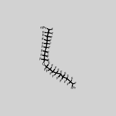 CCCC(F)C(F)(F)C(F)(F)C(F)(F)C(F)(F)C(F)(F)C(F)(F)C(F)(F)C(F)(F)OC(F)(F)C(F)(F)C(F)(F)C(F)(F)C(F)(F)C(F)(F)C(F)(F)C(F)(F)C(F)CCC